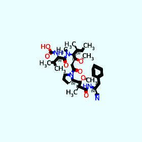 CC[C@H](C)[C@@H]([C@H](CC(=O)N1CCC[C@H]1[C@H](OC)[C@@H](C)C(=O)N[C@H](C#N)Cc1ccccc1)OC)N(C)C(=O)[C@@H](NC(=O)O)C(C)C